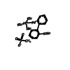 CNc1ccccc1-c1cccc[c]1[Pd+][PH](C(C)(C)C)(C(C)(C)C)C(C)(C)C.CS(=O)(=O)[O-]